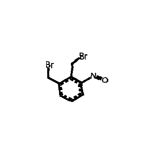 O=Nc1cccc(CBr)c1CBr